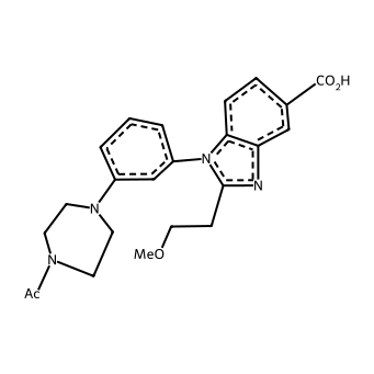 COCCc1nc2cc(C(=O)O)ccc2n1-c1cccc(N2CCN(C(C)=O)CC2)c1